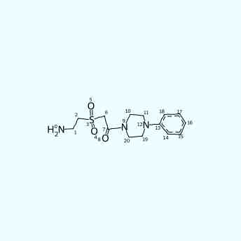 NCCS(=O)(=O)CC(=O)N1CCN(c2ccccc2)CC1